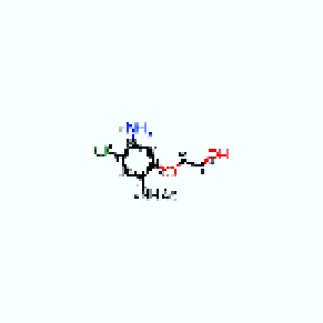 CC(=O)Nc1cc(Cl)c(N)cc1OCCO